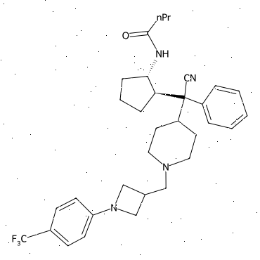 CCCC(=O)N[C@H]1CCC[C@@H]1C(C#N)(c1ccccc1)C1CCN(CC2CN(c3ccc(C(F)(F)F)cc3)C2)CC1